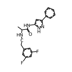 CC(NCCc1cc(F)cc(F)c1)C(=O)Nc1cc(-c2ccccc2)n[nH]1